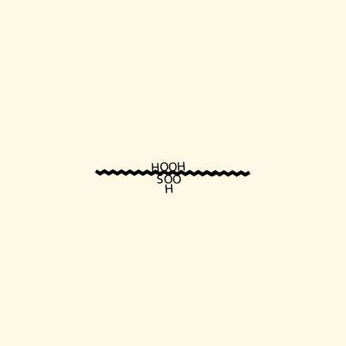 CCCCCCCCC=CCCCCCCCC(=O)C(O)C(O)C(O)C(=S)CCCCCCCCCCCCCCC